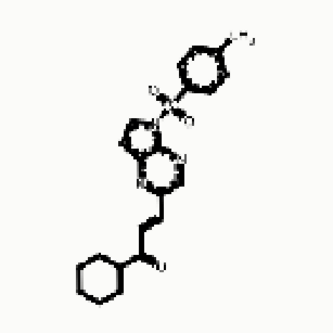 Cc1ccc(S(=O)(=O)n2ccc3nc(C=CC(=O)C4CCCCC4)cnc32)cc1